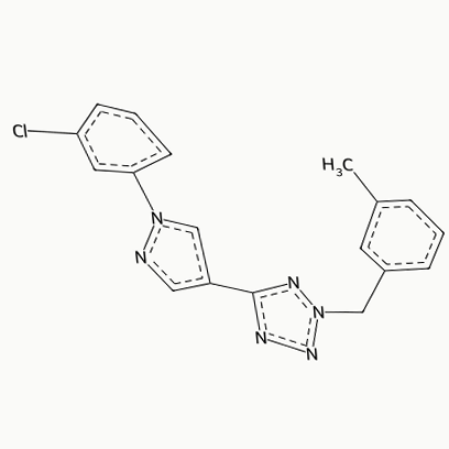 Cc1cccc(Cn2nnc(-c3cnn(-c4cccc(Cl)c4)c3)n2)c1